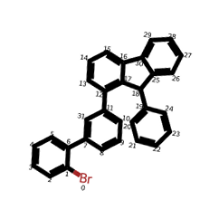 Brc1ccccc1-c1cccc(-c2cccc3c2C(c2ccccc2)c2ccccc2-3)c1